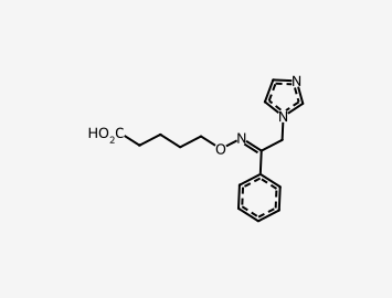 O=C(O)CCCCO/N=C(/Cn1ccnc1)c1ccccc1